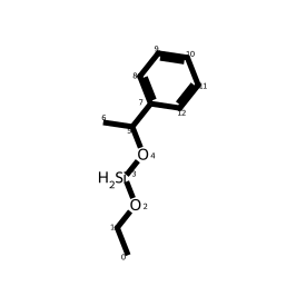 CCO[SiH2]OC(C)c1ccccc1